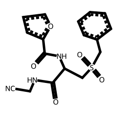 N#CCNC(=O)C(CS(=O)(=O)Cc1ccccc1)NC(=O)c1ccco1